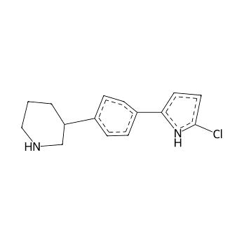 Clc1ccc(-c2ccc(C3CCCNC3)cc2)[nH]1